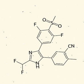 Cc1ccc(-c2[nH]c(C(F)F)nc2-c2cc(F)c(S(C)(=O)=O)c(F)c2)cc1C#N